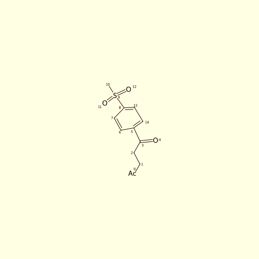 CC(=O)CCC(=O)c1ccc(S(C)(=O)=O)cc1